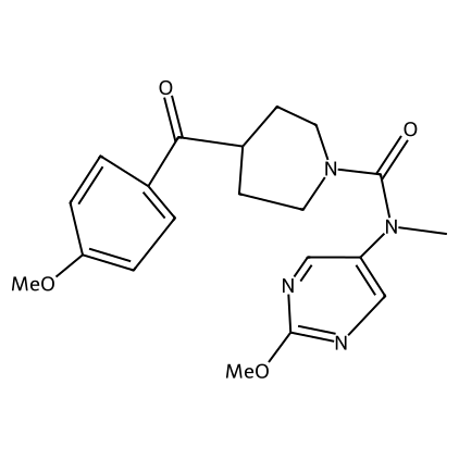 COc1ccc(C(=O)C2CCN(C(=O)N(C)c3cnc(OC)nc3)CC2)cc1